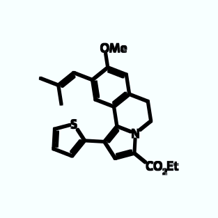 CCOC(=O)c1cc(-c2cccs2)c2n1CCc1cc(OC)c(C=C(C)C)cc1-2